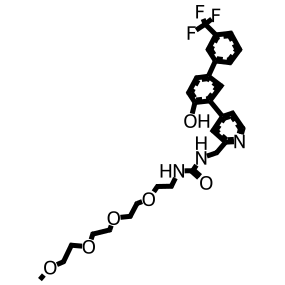 COCCOCCOCCOCCNC(=O)NCc1cc(-c2cc(-c3cccc(C(F)(F)F)c3)ccc2O)ccn1